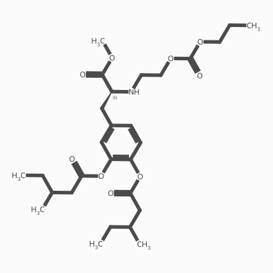 CCCOC(=O)OCCN[C@@H](Cc1ccc(OC(=O)CC(C)CC)c(OC(=O)CC(C)CC)c1)C(=O)OC